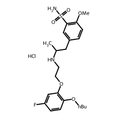 CCCCOc1ccc(F)cc1OCCNC(C)Cc1ccc(OC)c(S(N)(=O)=O)c1.Cl